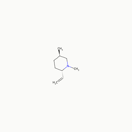 C=C[C@@H]1CC[C@@H](C)CN1C